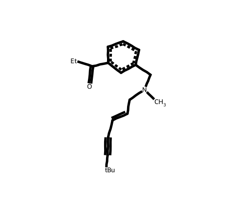 CCC(=O)c1cccc(CN(C)CC=CC#CC(C)(C)C)c1